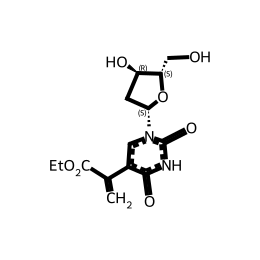 C=C(C(=O)OCC)c1cn([C@@H]2C[C@@H](O)[C@H](CO)O2)c(=O)[nH]c1=O